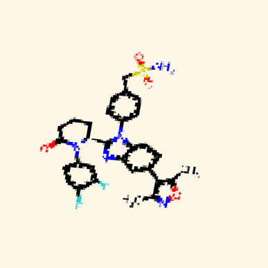 Cc1noc(C)c1-c1ccc2c(c1)nc([C@@H]1CCCC(=O)N1c1ccc(F)c(F)c1)n2-c1ccc(CS(N)(=O)=O)cc1